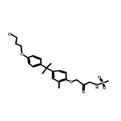 Cc1cc(C(C)(C)c2ccc(OCCCCl)cc2)ccc1OCC(=O)CNS(C)(=O)=O